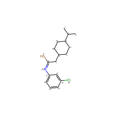 CC(C)C1CCC(C/C(S)=N\c2cccc(Cl)c2)CC1